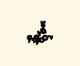 F/C(=C\c1ccc(Oc2ccccc2F)c(C(F)(F)F)c1N1CCCC2(CCN(CC3CC3)CC2)C1)c1cncc(N2CC(F)(F)C2)n1